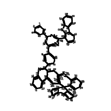 c1ccc(-c2nc(-c3ccc(-c4nc5ccccc5c5cc6c(cc45)Sc4ccccc4C64c5ccccc5-c5ccccc54)cc3)nc(-c3cccc4c3sc3ccccc34)n2)cc1